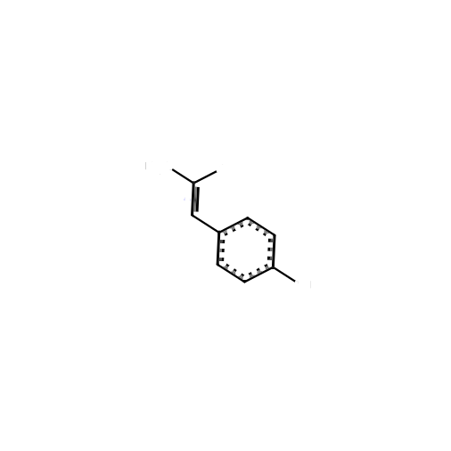 C/C(=C\c1ccc(S)cc1)C(=O)O